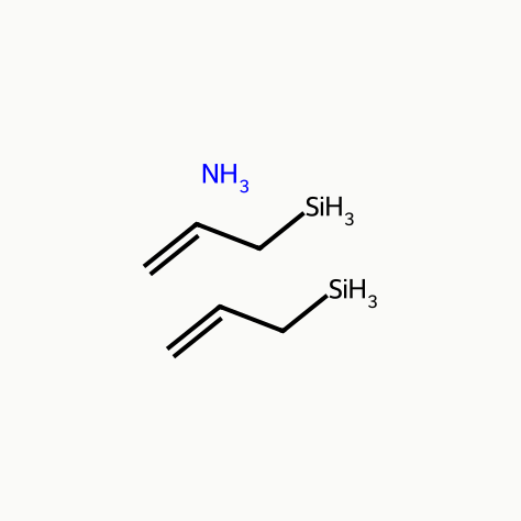 C=CC[SiH3].C=CC[SiH3].N